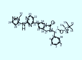 Cc1cccc([C@@H](CO[Si](C)(C)C(C)(C)C)N2Cc3cc(-c4ccnc(Nc5ccnn5C)n4)cn3C2=O)c1